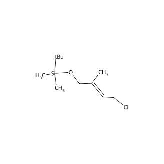 C/C(=C\CCl)CO[Si](C)(C)C(C)(C)C